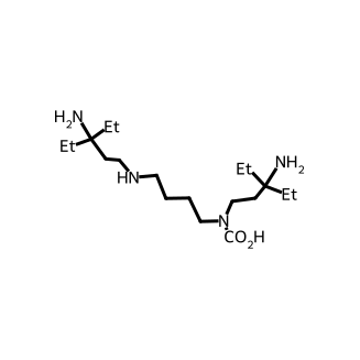 CCC(N)(CC)CCNCCCCN(CCC(N)(CC)CC)C(=O)O